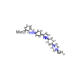 COc1cccc(CNc2ccc(-c3ccn([C@H]4CC[C@@H](N5CCN(C)CC5)CC4)n3)cc2)c1